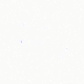 CN1CCNc2cnc(-c3cnn(C)c3)nc21